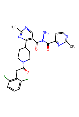 Cc1ncc(C(=O)N(N)C(=O)c2ccnc(C(F)(F)F)n2)c(C2CCN(C(=O)Cc3c(F)cccc3F)CC2)n1